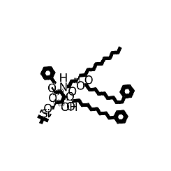 CCCCCCCCCCC[C@H](CC(=O)N[C@H]1[C@H](OCc2ccccc2)O[C@H](CO[Si](C)(C)C(C)(C)C)[C@@H](O)[C@@H]1OC(=O)CCCCCCCCc1ccccc1)OC(=O)CCCCCCCCc1ccccc1